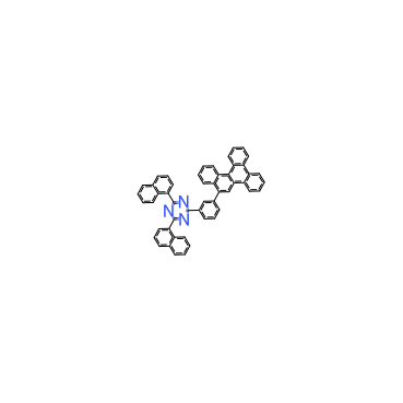 c1cc(-c2nc(-c3cccc4ccccc34)nc(-c3cccc4ccccc34)n2)cc(-c2cc3c4ccccc4c4ccccc4c3c3ccccc23)c1